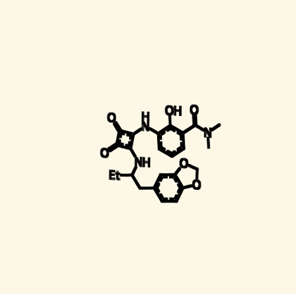 CCC(Cc1ccc2c(c1)OCO2)Nc1c(Nc2cccc(C(=O)N(C)C)c2O)c(=O)c1=O